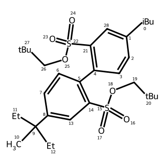 CCC(C)c1ccc(-c2ccc(C(C)(CC)CC)cc2S(=O)(=O)OCC(C)(C)C)c(S(=O)(=O)OCC(C)(C)C)c1